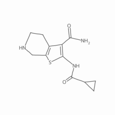 NC(=O)c1c(NC(=O)C2CC2)sc2c1CCNC2